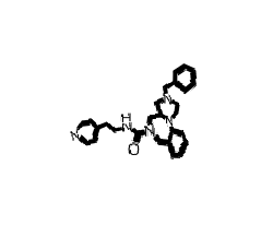 O=C(NCCc1ccncc1)N1Cc2ccccc2N2CCN(Cc3ccccc3)CC2C1